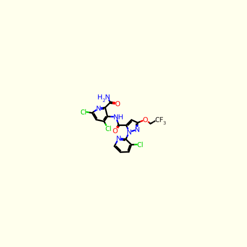 NC(=O)c1nc(Cl)cc(Cl)c1NC(=O)c1cc(OCC(F)(F)F)nn1-c1ncccc1Cl